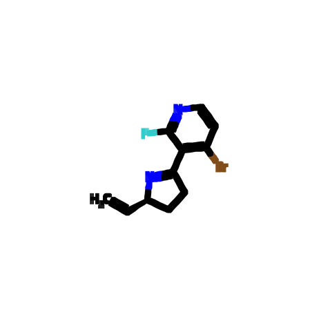 C=C[C@@H]1CCC(c2c(Br)ccnc2F)=N1